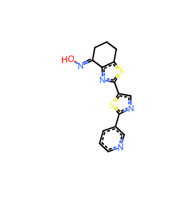 O/N=C1\CCCc2sc(-c3cnc(-c4cccnc4)s3)nc21